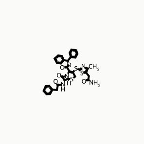 Cc1nc(SC2=C(C(=O)OC(c3ccccc3)c3ccccc3)N3C(=O)[C@@H](NC(=O)Cc4ccccc4)[C@H]3SC2)sc1CC(N)=O